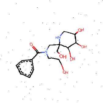 O=C(c1ccccc1)N(CCO)CC1(CO)NCC(O)C(O)C1O